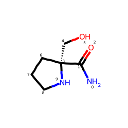 NC(=O)[C@]1(CO)CCCN1